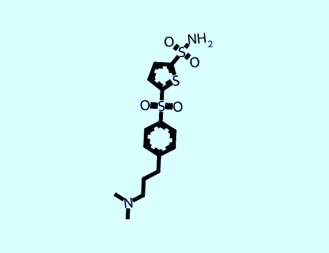 CN(C)CCCc1ccc(S(=O)(=O)c2ccc(S(N)(=O)=O)s2)cc1